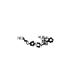 Nc1nc2c(c3nc(CN4CCN(c5ccc(OCCCO)cc5)CC4)nn13)C=CCC2